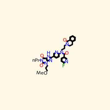 CCCn1c(=O)c2[nH]c(-c3ccc(N(CCCN4CCc5ccccc5C4=O)C(=O)c4ccc(F)nc4)nc3)nc2n(CCCOC)c1=O